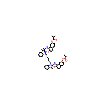 C=C(C)C(=O)Oc1ccc2ccc3c(c2c1)N=CC1(O3)N(CCCCCN2c3ccccc3C(C)(C)C23C=Nc2c(ccc4ccc(OC(=O)C(=C)C)cc24)O3)c2ccccc2C1(C)C